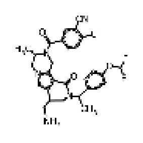 CC(c1ccc(OC(F)F)cc1)N1CC(CN)c2cn3c(c2C1=O)CN(C(=O)c1ccc(Cl)c(C#N)c1)[C@H](C)C3